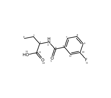 CCC(NC(=O)c1cccc(F)c1)C(=O)O